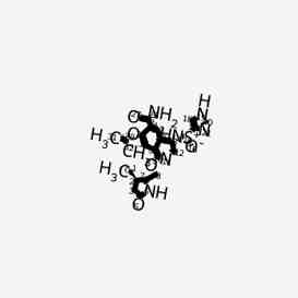 CC[C@@H]1CC(=O)NC1COc1ncc(N[S+]([O-])c2c[nH]cn2)c2cc(C(N)=O)c(OC(C)C)cc12